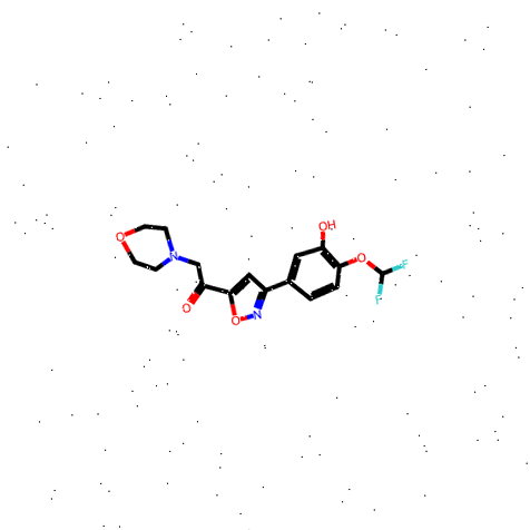 O=C(CN1CCOCC1)c1cc(-c2ccc(OC(F)F)c(O)c2)no1